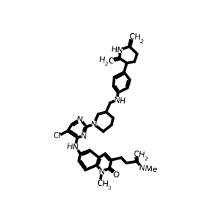 C=C(CCc1cc2cc(Nc3nc(N4CCCC(CNc5ccc(C6CCC(=C)NC6=C)cc5)C4)ncc3Cl)ccc2n(C)c1=O)NC